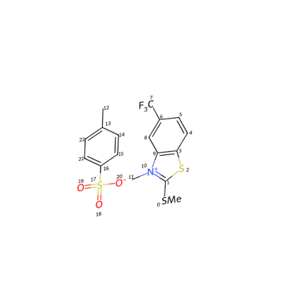 CSc1sc2ccc(C(F)(F)F)cc2[n+]1C.Cc1ccc(S(=O)(=O)[O-])cc1